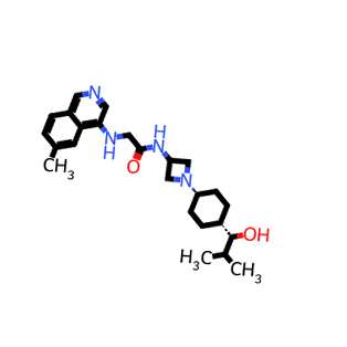 Cc1ccc2cncc(NCC(=O)NC3CN([C@H]4CC[C@@H](C(O)C(C)C)CC4)C3)c2c1